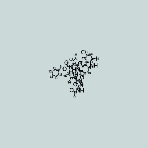 CCC(C)[C@H](NC(=O)OCc1ccccc1)C(=O)N[C@@]1(C(=O)N[C@H](c2nnc(NC(C)=O)o2)C(C)CC)CCc2[nH]c3c(I)cc(Cl)cc3c2C1